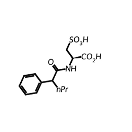 CCCC(C(=O)N[C@@H](CS(=O)(=O)O)C(=O)O)c1ccccc1